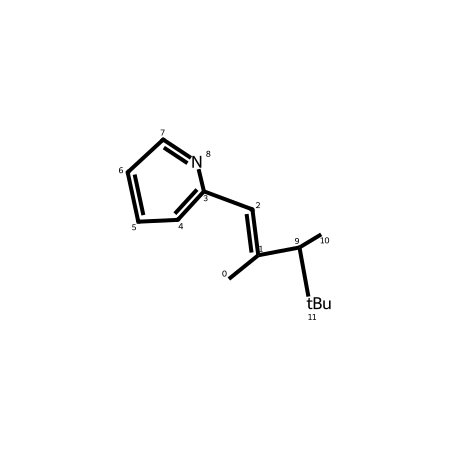 C/C(=C\c1ccccn1)C(C)C(C)(C)C